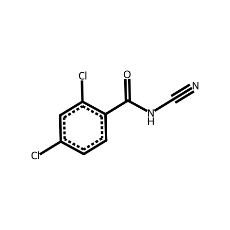 N#CNC(=O)c1ccc(Cl)cc1Cl